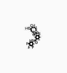 CC1CCCN(S(=O)(=O)c2cc(C(=O)Nc3cc(F)c(F)c(F)c3)ccc2F)CCC1O